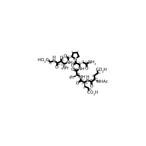 CCC[C@H](NC(=O)[C@@H]1CCCN1C(=O)[C@H](CC(N)=O)NC(=O)[C@@H](NC(=O)[C@H](CCC(=O)O)NC(=O)[C@H](CCC(=O)O)NC(C)=O)C(C)C)C(=O)C(=O)NCC(=O)O